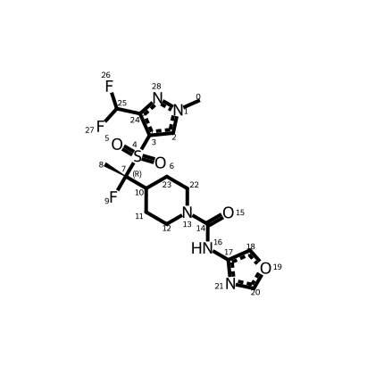 Cn1cc(S(=O)(=O)[C@@](C)(F)C2CCN(C(=O)Nc3cocn3)CC2)c(C(F)F)n1